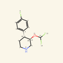 Fc1ccc([C@H]2CCNC[C@@H]2OC(F)F)cc1